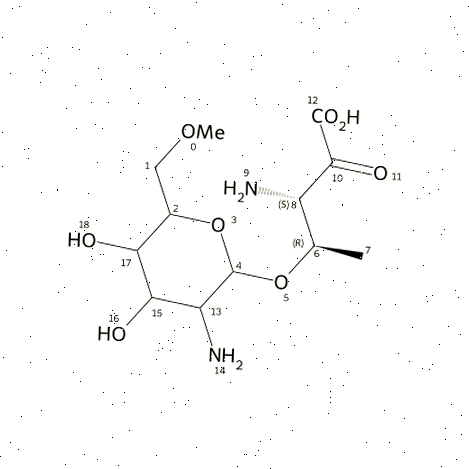 COCC1OC(O[C@H](C)[C@H](N)C(=O)C(=O)O)C(N)C(O)C1O